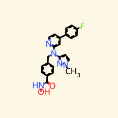 Cn1ccc(N(Cc2ccc(C(=O)NO)cc2)c2cc(-c3ccc(F)cc3)ccn2)n1